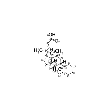 C[C@H](CCC(=O)O)[C@H]1CC[C@H]2[C@@H]3CCC4CCCC[C@]4(C)[C@H]3C[C@@H](C)[C@]12C